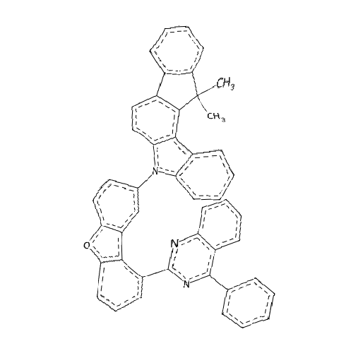 CC1(C)c2ccccc2-c2ccc3c(c21)c1ccccc1n3-c1ccc2oc3cccc(-c4nc(-c5ccccc5)c5ccccc5n4)c3c2c1